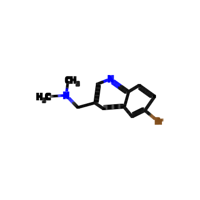 CN(C)Cc1cnc2ccc(Br)cc2c1